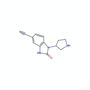 N#Cc1ccc2c(c1)[nH]c(=O)n2C1CCNC1